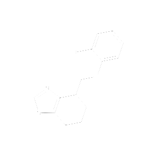 Clc1ccccc1OCC1CCCc2[nH]cnc21